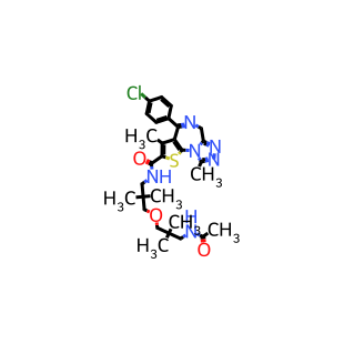 CC(=O)NCC(C)(C)COCC(C)(C)CNC(=O)c1sc2c(c1C)C(c1ccc(Cl)cc1)=NCc1nnc(C)n1-2